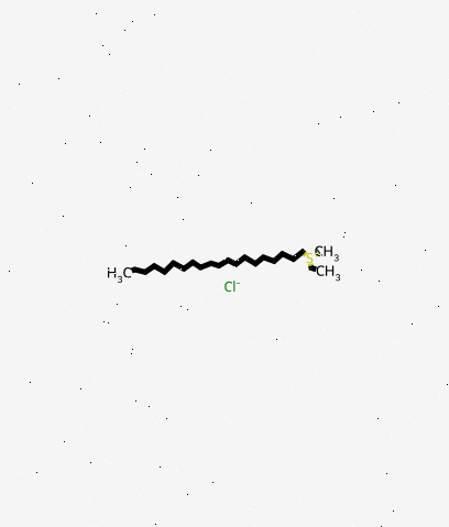 CCCCCCCCCCCCCCCCCCCC[S+](C)CC.[Cl-]